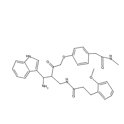 CNC(=O)Cc1ccc(OCC(=O)C(CNC(=O)CCc2ccccc2OC)C(N)c2c[nH]c3ccccc23)cc1